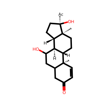 CC(=O)[C@@]1(O)CC[C@H]2[C@@H]3C(O)CC4CC(=O)C=C[C@]4(C)[C@H]3CC[C@@]21C